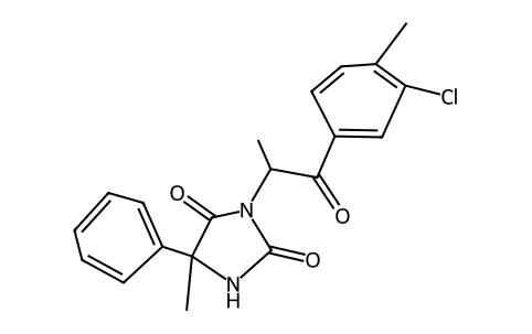 Cc1ccc(C(=O)C(C)N2C(=O)NC(C)(c3ccccc3)C2=O)cc1Cl